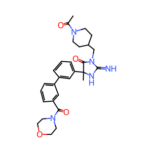 CC(=O)N1CCC(CN2C(=N)NC(C)(c3cccc(-c4cccc(C(=O)N5CCOCC5)c4)c3)C2=O)CC1